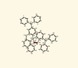 c1ccc(N(c2ccccc2)c2ccc3c(c2)Sc2ccc4ccccc4c2C32c3ccccc3-c3c(N(c4ccccc4)c4ccccc4)cccc32)cc1